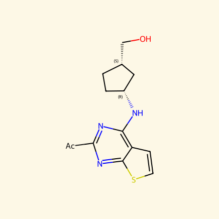 CC(=O)c1nc(N[C@@H]2CC[C@H](CO)C2)c2ccsc2n1